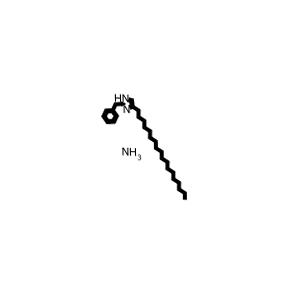 CCCCCCCCCCCCCCCCCCc1c[nH]c(Cc2ccccc2)n1.N